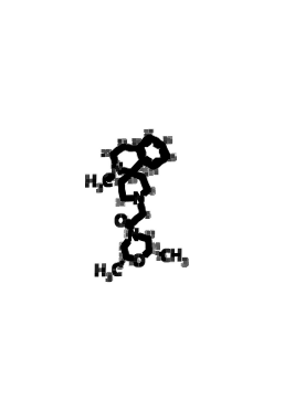 C[C@@H]1CN(C(=O)CN2CCC3(CC2)c2ccccc2CCN3C)C[C@H](C)O1